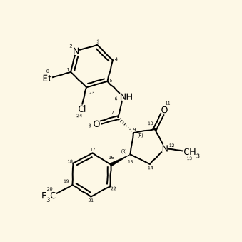 CCc1nccc(NC(=O)[C@@H]2C(=O)N(C)C[C@H]2c2ccc(C(F)(F)F)cc2)c1Cl